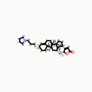 C[C@]12CC[C@H]3[C@@H](CCC4=C[C@@H](SCCCN5CCCC5)CC[C@@]43C)[C@@H]1CC[C@@H]2C1=CC(=O)OC1